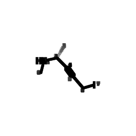 CN[C@H](C)C#CCI